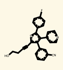 N#Cc1cccc(-c2c(C#CCCO)sc(-c3ccc(F)cc3)c2-c2ccncc2)c1